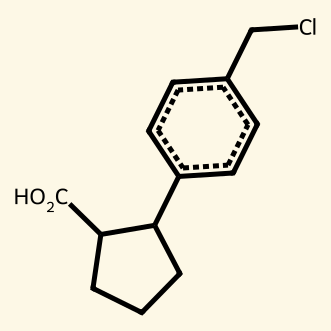 O=C(O)C1CCCC1c1ccc(CCl)cc1